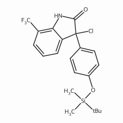 CC(C)(C)[Si](C)(C)Oc1ccc(C2(Cl)C(=O)Nc3c(C(F)(F)F)cccc32)cc1